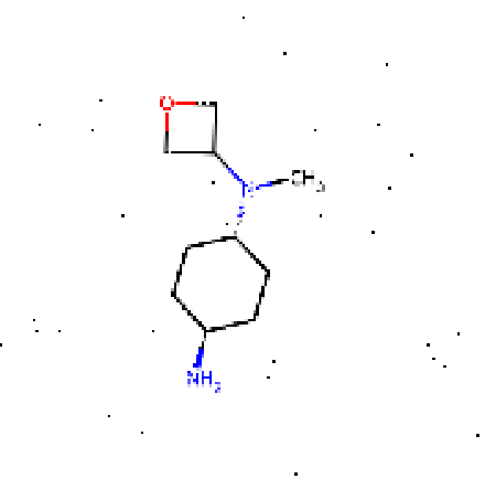 CN(C1COC1)[C@H]1CC[C@H](N)CC1